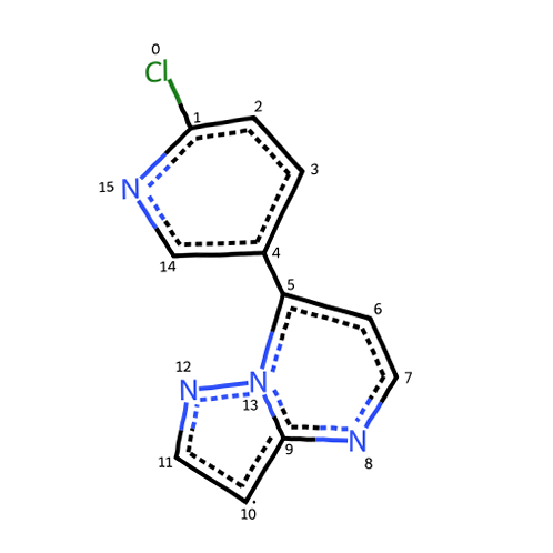 Clc1ccc(-c2ccnc3[c]cnn23)cn1